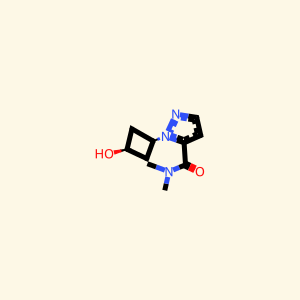 CN(C)C(=O)c1ccnn1[C@H]1C[C@H](O)C1